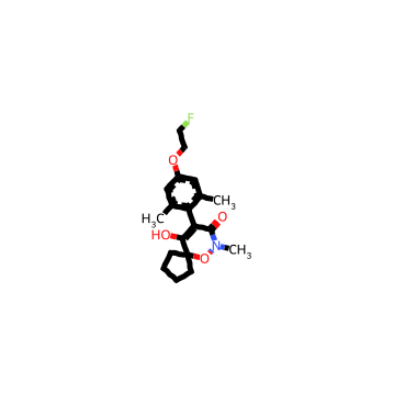 Cc1cc(OCCF)cc(C)c1C1=C(O)C2(CCCC2)ON(C)C1=O